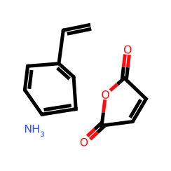 C=Cc1ccccc1.N.O=C1C=CC(=O)O1